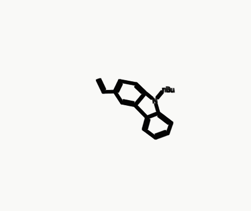 C=Cc1ccc2c(c1)c1ccccc1n2CCCC